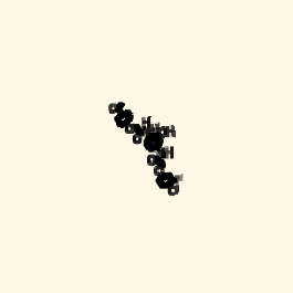 CC(=O)c1ccc(OCC(=O)NC23CCC(NC(=O)COc4ccc(Cl)c(F)c4)(CC2)C[C@@H]3O)cc1